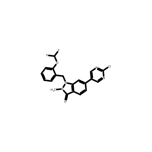 Cn1c(=O)c2ccc(-c3cnc(Cl)nc3)cc2n1Cc1ccccc1OC(F)F